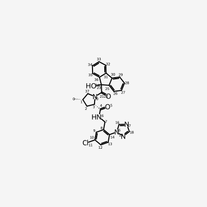 C[C@H]1C[C@@H](C(=O)NCc2cc(Cl)ccc2-n2cncn2)N(C(=O)C2(O)c3ccccc3-c3ccccc32)C1